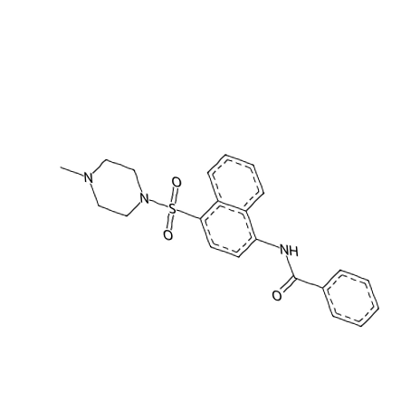 CN1CCN(S(=O)(=O)c2ccc(NC(=O)c3ccccc3)c3ccccc23)CC1